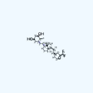 C=C1/C(=C\C=C2/CCC[C@]3(C)[C@@H]([C@H](C)CN4CCO[C@H](C(F)F)C4)CC[C@@H]23)C[C@@H](O)C[C@@H]1O